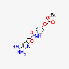 CC(C)(C)OC(=O)COC1CCC(NC(=O)c2cc3cc(C(=N)N)cnc3o2)CC1